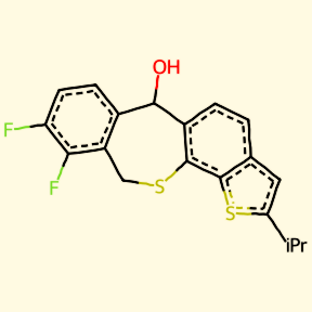 CC(C)c1cc2ccc3c(c2s1)SCc1c(ccc(F)c1F)C3O